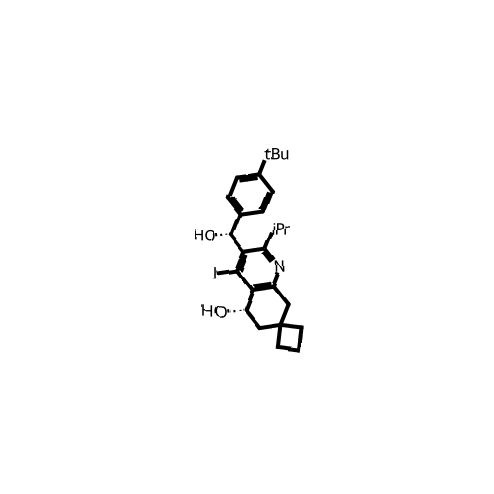 CC(C)c1nc2c(c(I)c1[C@H](O)c1ccc(C(C)(C)C)cc1)[C@@H](O)CC1(CCC1)C2